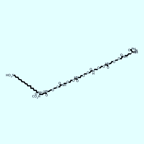 CCN[C@@H](CCCCNC(=O)COCCOCCNC(=O)COCCOCCNC(=O)COCCOCCNC(=O)COCCOCCNC(=O)COCCOCCNC(=O)CC[C@H](NC(=O)CCCCCCCCCCCCCCCS(=O)(=O)O)C(=O)O)C(=O)P